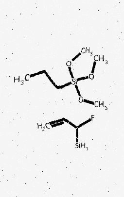 C=CC(F)[SiH3].CCC[Si](OC)(OC)OC